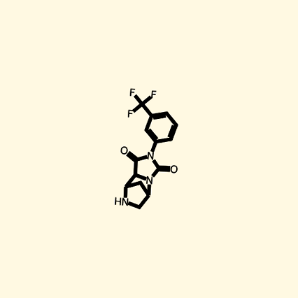 O=C1C2C3CC(CN3)N2C(=O)N1c1cccc(C(F)(F)F)c1